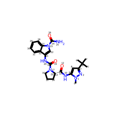 Cn1nc(C(C)(C)C)cc1NC(=O)[C@@H]1CCCN1C(=O)Nc1cn(C(N)=O)c2ccccc12